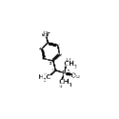 CC(c1ccc(Br)cc1)P(C)(C)=O